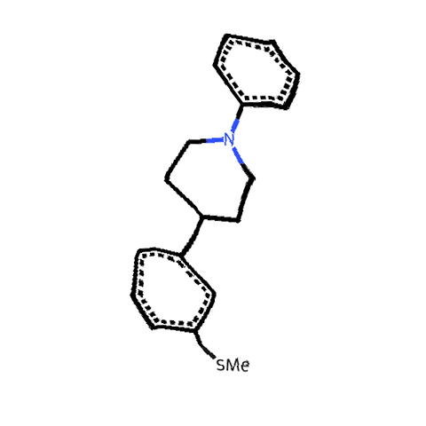 CSc1cccc(C2CCN(c3ccccc3)CC2)c1